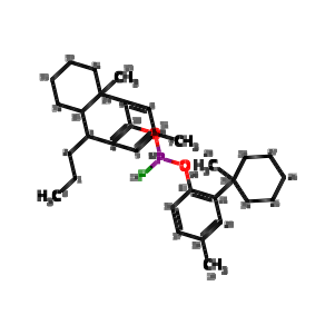 CCCC1c2cc(C)cc(c2OP(F)Oc2ccc(C)cc2C2(C)CCCCC2)C2(C)CCCCC12